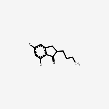 CCCCC1Cc2cc(F)cc(Cl)c2C1=O